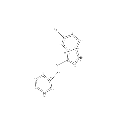 Fc1ccc2[nH]cc(CCc3cccnc3)c2c1